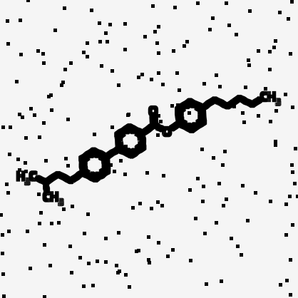 CCCCCc1ccc(OC(=O)c2ccc(-c3ccc(CCC(C)C)cc3)cc2)cc1